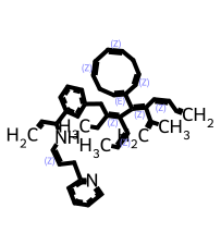 C=C\C=C/C(C(=C)C)=C(C(/C=C\C)=C(/CC)Cc1cccc(C(C=C)N/C=C\Cc2ccccn2)c1)\C1=C\C/C=C\C=C/C\C=C/1